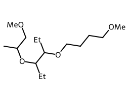 [CH2]CC(OC(C)COC)C(CC)OCCCCOC